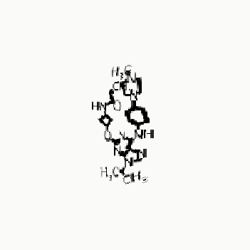 C=CC(=O)N[C@H]1C[C@H](Oc2nc(Nc3ccc(N4CCN(C)CC4)cc3)c3ncn(C(C)C)c3n2)C1